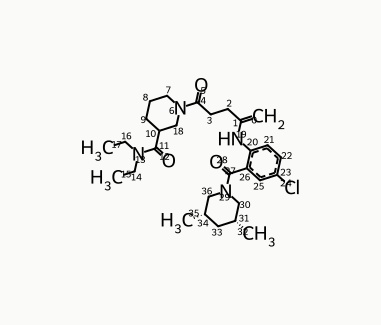 C=C(CCC(=O)N1CCCC(C(=O)N(CC)CC)C1)Nc1ccc(Cl)cc1C(=O)N1C[C@H](C)C[C@H](C)C1